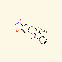 CN1c2ccccc2C(C)(C)C12C=Cc1cc([N+](=O)[O-])c(O)cc1O2